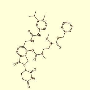 CON(CCN(C)C(=O)Oc1c(CNC(=O)Nc2ccc(C)c(C(C)C)c2)ccc2c1CN(C1CCC(=O)NC1=O)C2=O)C(=O)OCc1ccccc1